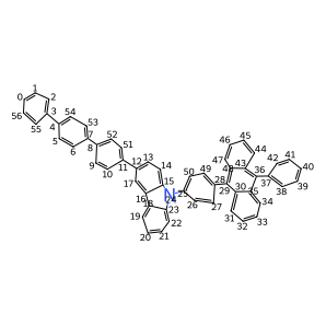 c1ccc(-c2ccc(-c3ccc(-c4ccc5c(c4)c4ccccc4n5-c4ccc(-c5c6ccccc6c(-c6ccccc6)c6ccccc56)cc4)cc3)cc2)cc1